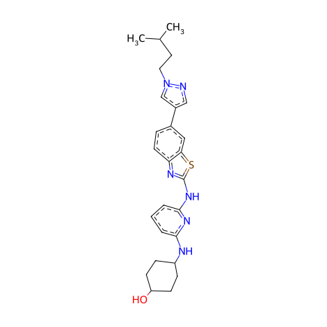 CC(C)CCn1cc(-c2ccc3nc(Nc4cccc(NC5CCC(O)CC5)n4)sc3c2)cn1